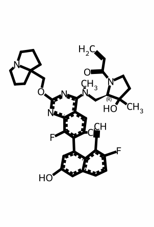 C#Cc1c(F)ccc2cc(O)cc(-c3c(Cl)cc4c(N(C)C[C@H]5N(C(=O)C=C)CCC5(C)O)nc(OCC56CCCN5CCC6)nc4c3F)c12